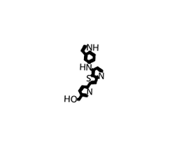 OCc1ccc(-c2cc3nccc(Nc4ccc5[nH]ccc5c4)c3s2)nc1